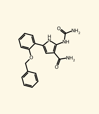 NC(=O)Nc1[nH]c(-c2ccccc2OCc2ccccc2)cc1C(N)=O